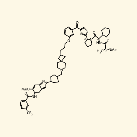 CN[C@@H](C)C(=O)N[C@H](C(=O)N1CCC[C@H]1c1nc(C(=O)c2cccc(OCCCC3CC4(CCN(CC5CCC(n6cc7cc(NC(=O)c8cccc(C(F)(F)F)n8)c(OC)cc7n6)CC5)CC4)C3)c2)cs1)C1CCCCC1